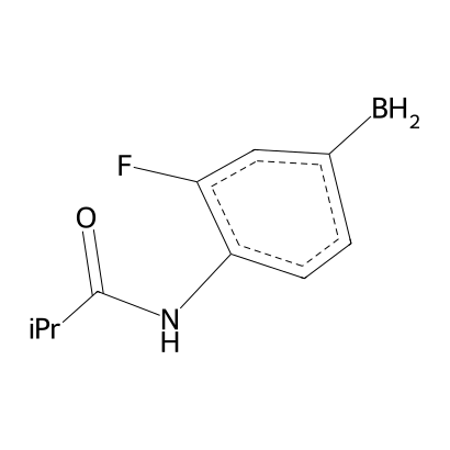 Bc1ccc(NC(=O)C(C)C)c(F)c1